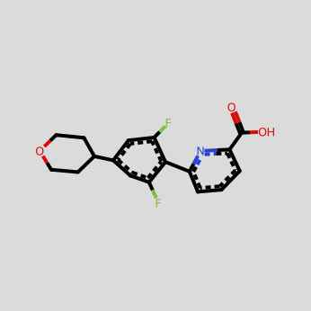 O=C(O)c1cccc(-c2c(F)cc(C3CCOCC3)cc2F)n1